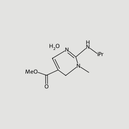 COC(=O)C1=CN=C(NC(C)C)N(C)C1.O